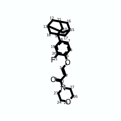 O=C(/C=C/Oc1ccc(C23CC4CC(CC(C4)C2)C3)cc1F)N1CCOCC1